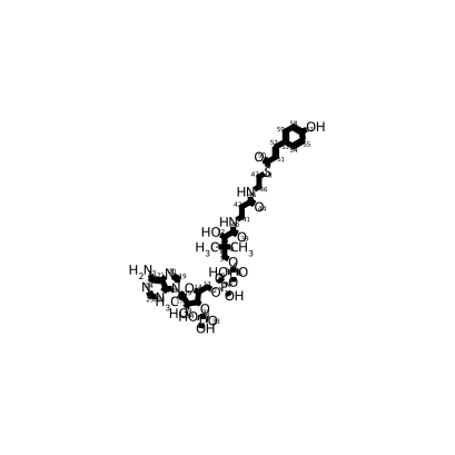 CC(C)(COP(=O)(O)OP(=O)(O)OCC1OC(C)(n2cnc3c(N)ncnc32)C(O)C1OP(=O)(O)O)C(O)C(=O)NCCC(=O)NCCSC(=O)/C=C/c1ccc(O)cc1